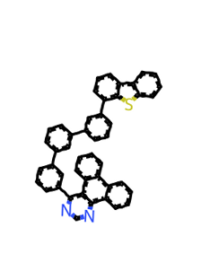 c1cc(-c2cccc(-c3cccc4c3sc3ccccc34)c2)cc(-c2cccc(-c3ncnc4c5ccccc5c5ccccc5c34)c2)c1